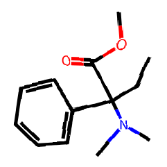 CCC(C(=O)OC)(c1ccccc1)N(C)C